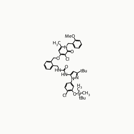 COc1ccccc1Cn1c(C)cc(OCc2ccccc2CNC(=O)Nc2cc(C(C)(C)C)nn2-c2ccc(Cl)c(O[Si](C)(C)C(C)(C)C)c2)c(Cl)c1=O